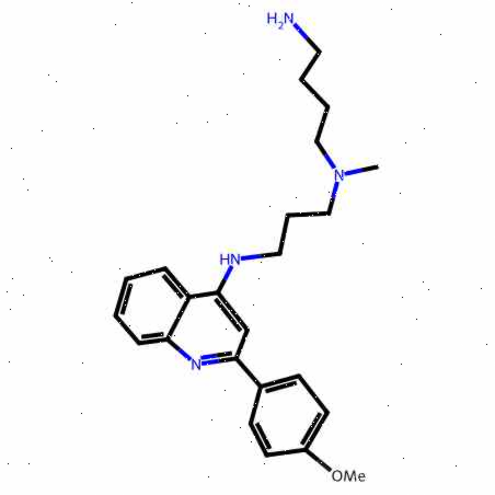 COc1ccc(-c2cc(NCCCN(C)CCCCN)c3ccccc3n2)cc1